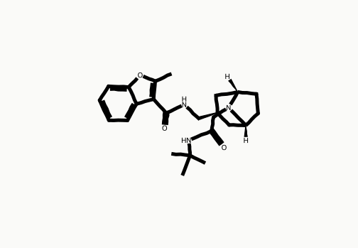 Cc1oc2ccccc2c1C(=O)NC[C@@H]1C[C@H]2CC[C@@H](C1)N2CC(=O)NC(C)(C)C